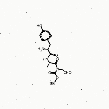 C[C@@H](NC(=O)[C@@H](N)Cc1ccc(O)cc1)C(=O)N(C[C]=O)C(=O)OC(C)(C)C